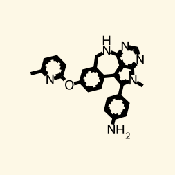 Cc1cccc(Oc2ccc3c(c2)CNc2ncnc4c2c-3c(-c2ccc(N)cc2)n4C)n1